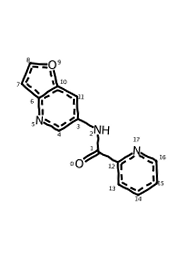 O=C(Nc1cnc2ccoc2c1)c1ccccn1